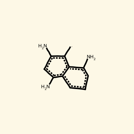 [CH2]c1c(N)cc(N)c2cccc(N)c12